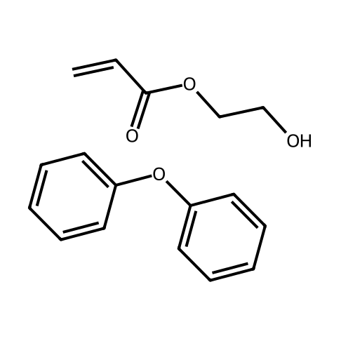 C=CC(=O)OCCO.c1ccc(Oc2ccccc2)cc1